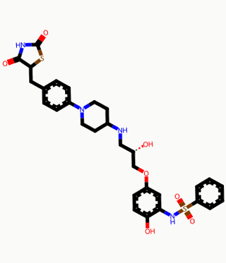 O=C1NC(=O)C(Cc2ccc(N3CCC(NC[C@H](O)COc4ccc(O)c(NS(=O)(=O)c5ccccc5)c4)CC3)cc2)S1